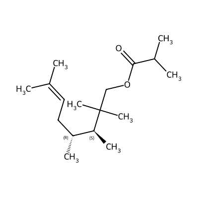 CC(C)=CC[C@@H](C)[C@H](C)C(C)(C)COC(=O)C(C)C